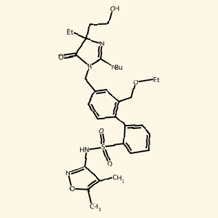 CCCCC1=NC(CC)(CCO)C(=O)N1Cc1ccc(-c2ccccc2S(=O)(=O)Nc2noc(C)c2C)c(COCC)c1